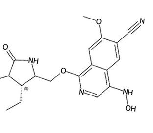 CC[C@H]1C(COc2ncc(NO)c3cc(C#N)c(OC)cc23)NC(=O)C1F